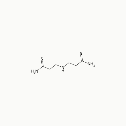 NC(=S)CCNCCC(N)=S